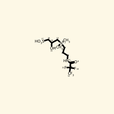 C[N+](C)(CCCNC(=O)C(F)(F)C(F)(F)F)CC(O)CS(=O)(=O)O